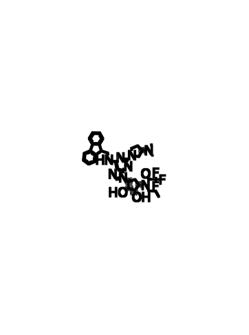 CCCN(C(=O)C(F)(F)F)[C@H]1C[C@@H](n2cnc3c(NCC4c5ccccc5-c5ccccc54)nc(N4CC[C@@H](N(C)C)C4)nc32)[C@H](O)[C@@H]1O